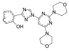 Oc1ccccc1-c1ncn(-c2cc(N3CCOCC3)nc(N3CCOCC3)n2)n1